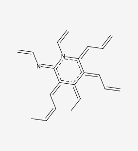 C=CC=c1c(=C/C)/c(=C\C=C/C)c(=N/C=C)/n(C=C)/c1=C/C=C